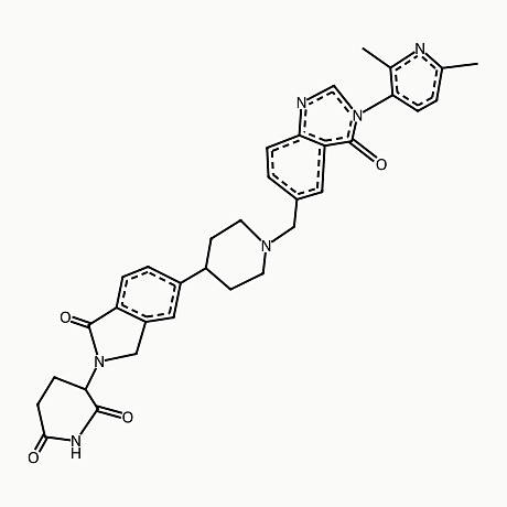 Cc1ccc(-n2cnc3ccc(CN4CCC(c5ccc6c(c5)CN(C5CCC(=O)NC5=O)C6=O)CC4)cc3c2=O)c(C)n1